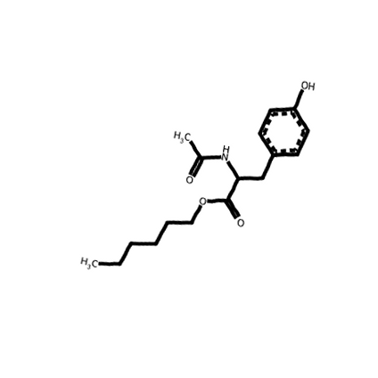 CCCCCCOC(=O)C(Cc1ccc(O)cc1)NC(C)=O